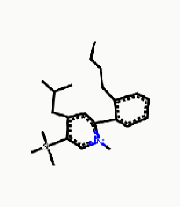 CCCCc1ccccc1-c1cc(CC(C)C)c([Si](C)(C)C)c[n+]1C